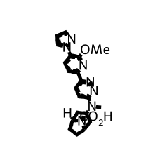 COc1nc(-c2ccc(N(C)C3CC4CC[C@@H](C3)N4C(=O)O)nn2)ccc1-n1cccn1